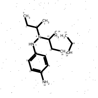 CCC(C)N(Nc1ccc(N)cc1)C(C)CC.CCO